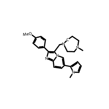 COc1ccc(-c2nc3ccc(-c4cccn4C)cn3c2CN2CCCN(C)CC2)cc1